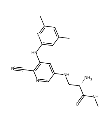 CNC(=O)[C@@H](N)CNc1cnc(C#N)c(Nc2cc(C)cc(C)n2)c1